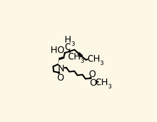 CCC#CCC(C)(C)C(O)/C=C/[C@H]1CCC(=O)N1CCCCCCC(=O)OC